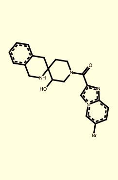 O=C(c1cn2cc(Br)ccc2n1)N1CCC2(Cc3ccccc3CN2)C(O)C1